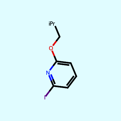 CC(C)COc1cccc(I)n1